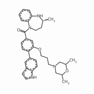 CC1CN(CCCOc2cc(C(=O)N3CC[C@H](C)Nc4ccccc43)ccc2-c2ccc3[nH]ccc3c2)CC(C)O1